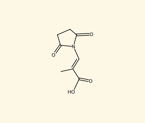 CC(=CN1C(=O)CCC1=O)C(=O)O